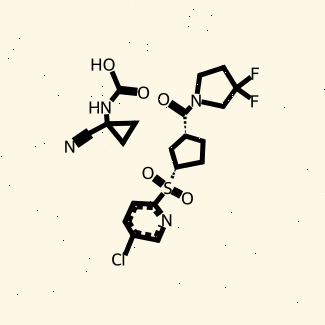 N#CC1(NC(=O)O)CC1.O=C([C@@H]1CC[C@H](S(=O)(=O)c2ccc(Cl)cn2)C1)N1CCC(F)(F)C1